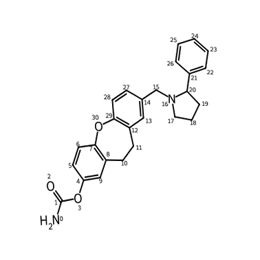 NC(=O)Oc1ccc2c(c1)CCc1cc(CN3CCCC3c3ccccc3)ccc1O2